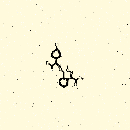 CO/N=C(/C(=O)OC)c1ccccc1CO/N=C(/c1ccc(Cl)cc1)C(F)F